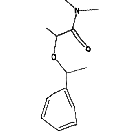 CC(OC(C)c1ccccc1)C(=O)N(C)C